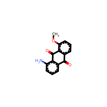 COc1cccc2c1C(=O)c1c(N)cccc1C2=O